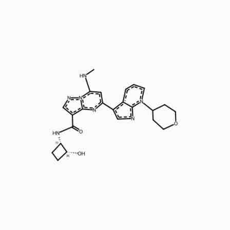 CNc1cc(-c2cnc3n(C4CCOCC4)cccc2-3)nc2c(C(=O)N[C@H]3CC[C@H]3O)cnn12